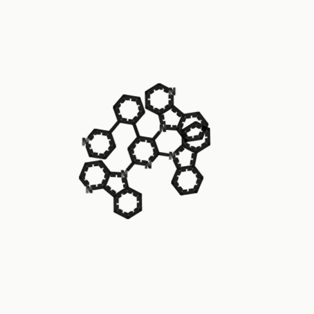 c1cncc(-c2ccccc2-c2cc(-n3c4ccccc4c4ncccc43)nc(-n3c4ccccc4c4ccccc43)c2-n2c3ccccc3c3ncccc32)c1